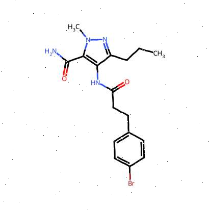 CCCc1nn(C)c(C(N)=O)c1NC(=O)CCc1ccc(Br)cc1